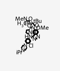 CN[C@@H](C)C(=O)N[C@H](C(=O)N(C(=O)[C@@H]1CCCN1)c1cc2c(Nc3ccc(N4CCN(C(C)C)CC4)c(Cl)c3)ncnc2cc1OC)C(C)(C)C